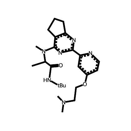 CC(C(=O)NC(C)(C)C)N(C)c1nc(-c2cc(OCCN(C)C)ccn2)nc2c1CCC2